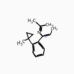 C/C=C(\N=C(C)C)c1ccccc1C1(C)CC1